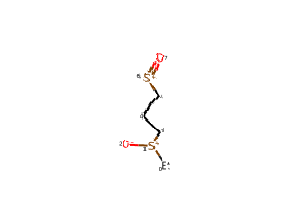 CC[S+]([O-])CCC[S+]=O